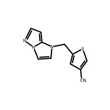 N#Cc1csc(Cn2ccn3nccc23)c1